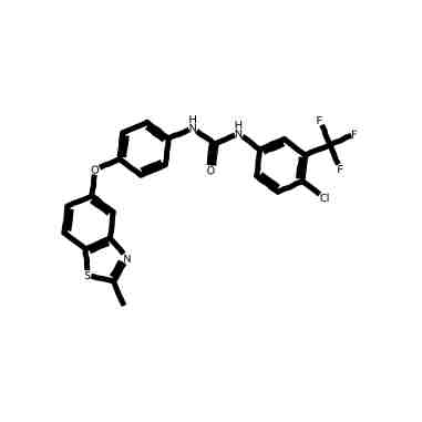 Cc1nc2cc(Oc3ccc(NC(=O)Nc4ccc(Cl)c(C(F)(F)F)c4)cc3)ccc2s1